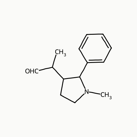 CC(C=O)C1CCN(C)C1c1ccccc1